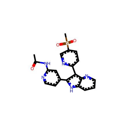 CC(=O)Nc1cc(-c2[nH]c3cccnc3c2-c2ccc(S(C)(=O)=O)cn2)ccn1